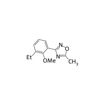 CCc1cccc(-c2noc(C)n2)c1OC